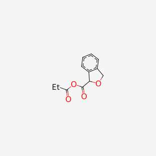 CCC(=O)OC(=O)C1OCc2ccccc21